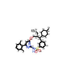 Cc1cccc(C)c1-c1cc2nc(n1)NS(=O)(=O)c1cccc(c1)C(C1CCC(C)CC1)[C@H](CC(C)(C)C)CO2